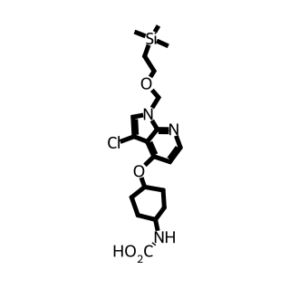 C[Si](C)(C)CCOCn1cc(Cl)c2c(OC3CCC(NC(=O)O)CC3)ccnc21